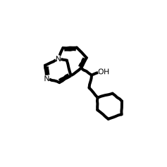 OC(CC1CCCCC1)C1=CC=CN2C=NC=C1C2